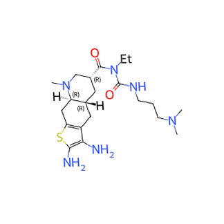 CCN(C(=O)NCCCN(C)C)C(=O)[C@@H]1C[C@@H]2Cc3c(sc(N)c3N)C[C@H]2N(C)C1